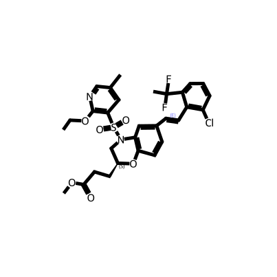 CCOc1ncc(C)cc1S(=O)(=O)N1C[C@H](CCC(=O)OC)Oc2ccc(/C=C/c3c(Cl)cccc3C(C)(F)F)cc21